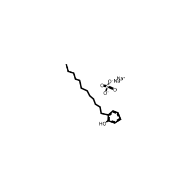 CCCCCCCCCCCCc1ccccc1O.O=S(=O)([O-])[O-].[Na+].[Na+]